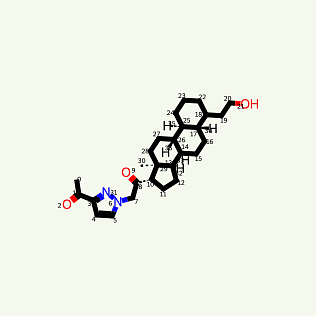 CC(=O)c1ccn(CC(=O)[C@H]2CC[C@H]3[C@@H]4CC[C@H]5C(CCO)CCC[C@@H]5[C@H]4CC[C@]23C)n1